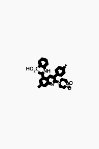 Cc1cc(C(C)Nc2ccccc2C(=O)O)c2cc(-c3ccc(F)cc3)c(N3CCS(=O)(=O)CC3)nc2c1